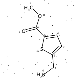 BCc1ccc(C(=O)OC)s1